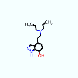 C=CCN(CC=C)CCc1ccc(O)c2[nH]ncc12